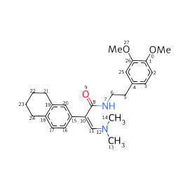 COc1ccc(CCNC(=O)C(=CN(C)C)c2ccc3c(c2)CCCC3)cc1OC